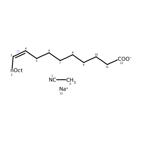 CC#N.CCCCCCCC/C=C\CCCCCCCC(=O)[O-].[Na+]